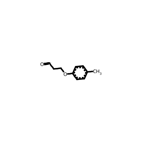 Cc1ccc(OCC[C]=O)cc1